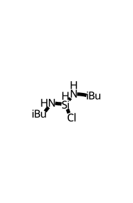 CCC(C)N[SiH](Cl)NC(C)CC